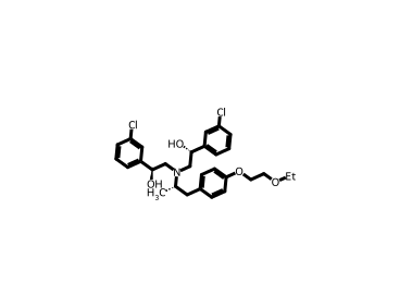 CCOCCOc1ccc(C[C@H](C)N(C[C@@H](O)c2cccc(Cl)c2)C[C@H](O)c2cccc(Cl)c2)cc1